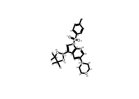 Cc1ccc(S(=O)(=O)n2cc(B3OC(C)(C)C(C)(C)O3)c3cc(N4CCOCC4)cnc32)cc1